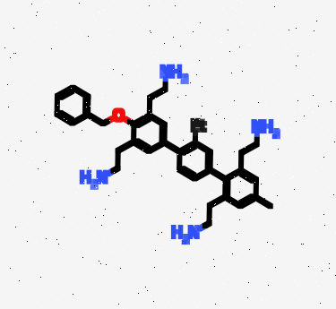 CCc1cc(-c2c(CCN)cc(C)cc2CCN)ccc1-c1cc(CCN)c(OCc2ccccc2)c(CCN)c1